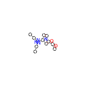 c1ccc(-c2ccc(-c3nc(-c4ccc(-c5ccccc5)cc4)nc(-c4cc(-c5ccccc5)c(N(c5ccccc5)c5ccc6c(c5)oc5cc7oc8ccccc8c7cc56)c(-c5ccccc5)c4)n3)cc2)cc1